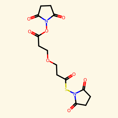 O=C(CCOCCC(=O)SN1C(=O)CCC1=O)ON1C(=O)CCC1=O